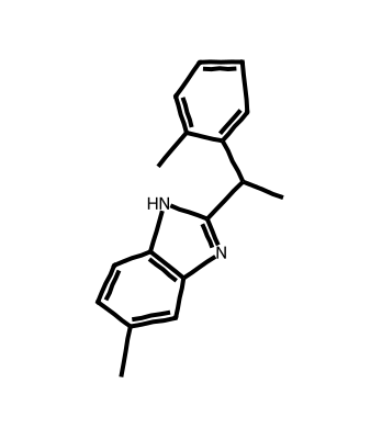 Cc1ccc2[nH]c(C(C)c3ccccc3C)nc2c1